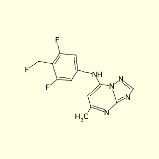 Cc1cc(Nc2cc(F)c(CF)c(F)c2)n2ncnc2n1